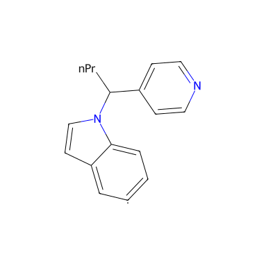 CCCC(c1ccncc1)n1ccc2c[c]ccc21